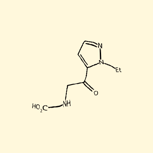 CCn1nccc1C(=O)CNC(=O)O